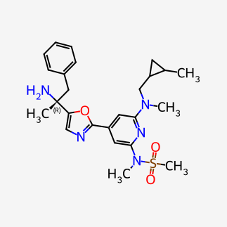 CC1CC1CN(C)c1cc(-c2ncc([C@](C)(N)Cc3ccccc3)o2)cc(N(C)S(C)(=O)=O)n1